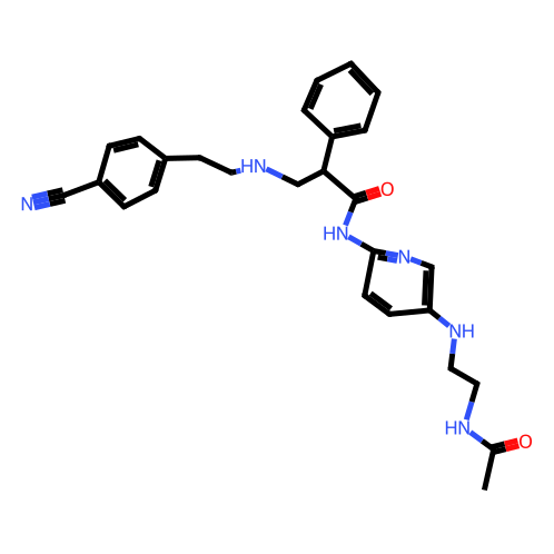 CC(=O)NCCNc1ccc(NC(=O)C(CNCCc2ccc(C#N)cc2)c2ccccc2)nc1